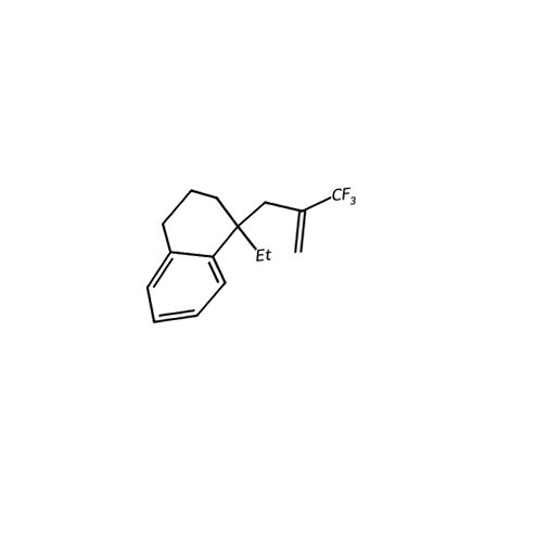 C=C(CC1(CC)CCCc2ccccc21)C(F)(F)F